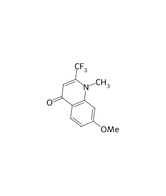 COc1ccc2c(=O)cc(C(F)(F)F)n(C)c2c1